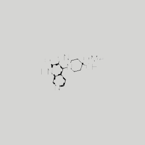 COC1(C)CCN(c2c(C#N)c(=O)[nH]c3cnccc23)CC1